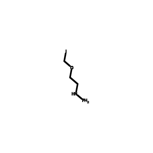 PNCCOCI